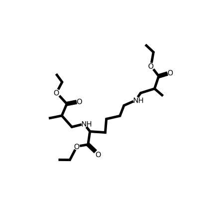 CCOC(=O)C(C)CNCCCCC(NCC(C)C(=O)OCC)C(=O)OCC